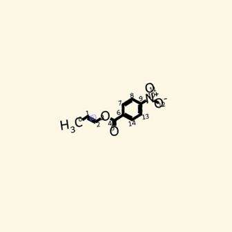 C/C=C/OC(=O)c1ccc([N+](=O)[O-])cc1